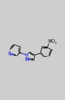 O=[N+]([O-])c1cccc(-c2cnn(-c3cccnc3)c2)c1